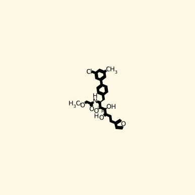 COCC(=O)N[C@@H](Cc1ccc(-c2cc(C)cc(Cl)c2)cc1)[C@H](O)[C@@H](O)C(=O)CCc1ccoc1